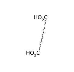 O=C(O)CCCCCC[CH]CCCCCCCCC(=O)O